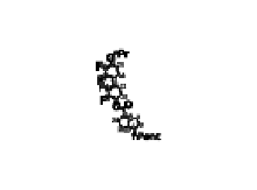 CCCCCC1CCC2C(C(=O)Oc3ccc(-c4ccc(OCCC)c(F)c4F)c(F)c3F)CCC12